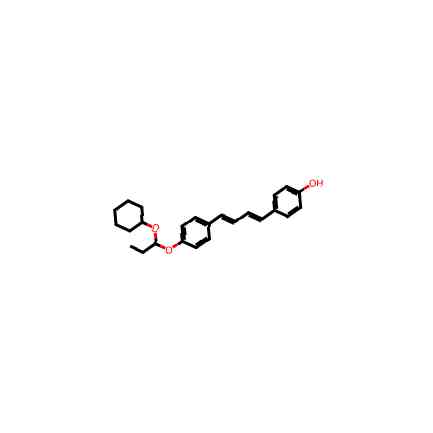 CCC(Oc1ccc(C=CC=Cc2ccc(O)cc2)cc1)OC1CCCCC1